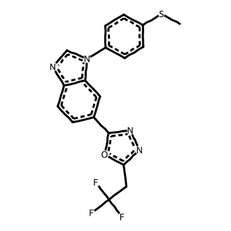 CSc1ccc(-n2cnc3ccc(-c4nnc(CC(F)(F)F)o4)cc32)cc1